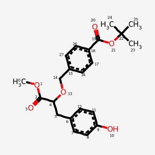 COC(=O)C(Cc1ccc(O)cc1)OCc1ccc(C(=O)OC(C)(C)C)cc1